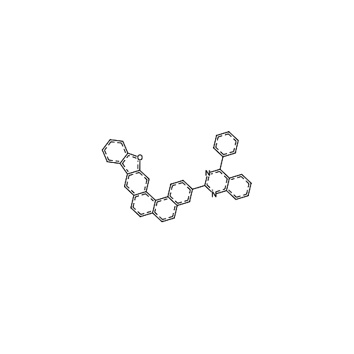 c1ccc(-c2nc(-c3ccc4c(ccc5ccc6cc7c(cc6c54)oc4ccccc47)c3)nc3ccccc23)cc1